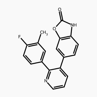 Cc1cc(-c2ncccc2-c2ccc3[nH]c(=O)oc3c2)ccc1F